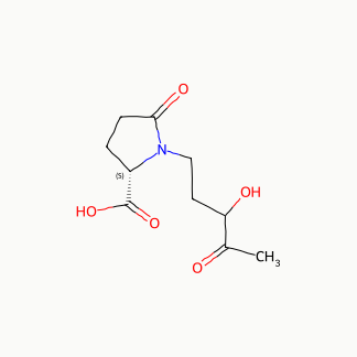 CC(=O)C(O)CCN1C(=O)CC[C@H]1C(=O)O